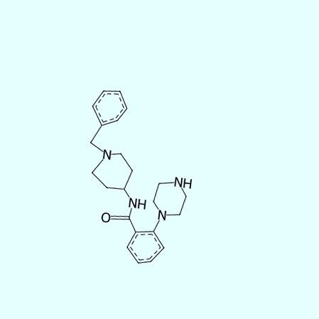 O=C(NC1CCN(Cc2ccccc2)CC1)c1ccccc1N1CCNCC1